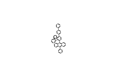 c1ccc(-c2ccc(-c3ccc(-c4c5ccccc5c(-c5ccccc5)c5ccccc45)c4c3oc3ccccc34)cc2)cc1